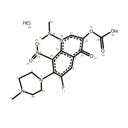 CN1CCN(c2c(F)cc3c(=O)c(OC(=O)O)cn(N(C)C)c3c2[N+](=O)[O-])CC1.Cl